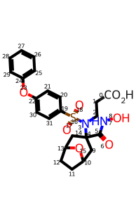 O=C(O)CCN(C1(C(=O)NO)CC2CCC(C1)O2)S(=O)(=O)c1ccc(Oc2ccccc2)cc1